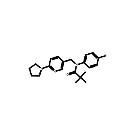 CC(C)(C)C(=O)N(Cc1ccc(N2CCCC2)nc1)c1ccc(F)cc1